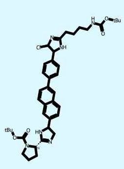 CC(C)(C)OC(=O)NCCCCC1=NC(Cl)C(c2ccc(-c3ccc4cc(C5CN=C([C@@H]6CCCN6C(=O)OC(C)(C)C)N5)ccc4c3)cc2)N1